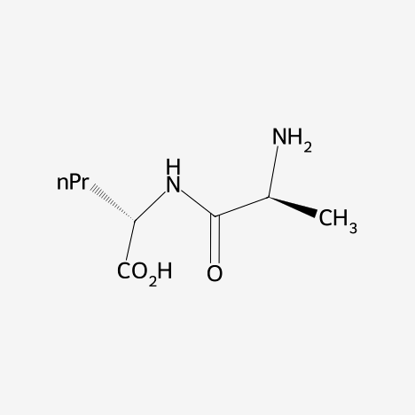 CCC[C@H](NC(=O)[C@H](C)N)C(=O)O